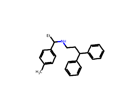 CCC(NCCC(c1ccccc1)c1ccccc1)c1ccc(C)cc1